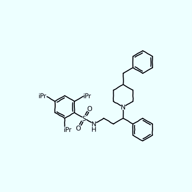 CC(C)c1cc(C(C)C)c(S(=O)(=O)NCCC(c2ccccc2)N2CCC(Cc3ccccc3)CC2)c(C(C)C)c1